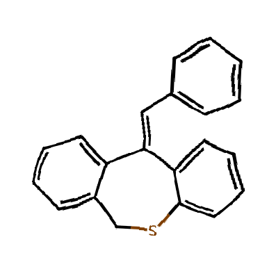 C(=C1c2ccccc2CSc2ccccc21)c1ccccc1